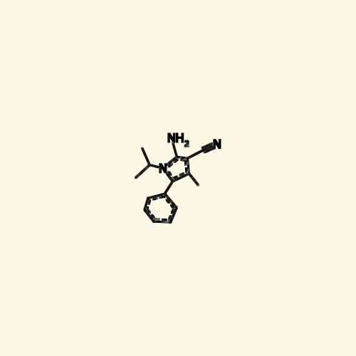 Cc1c(C#N)c(N)n(C(C)C)c1-c1ccccc1